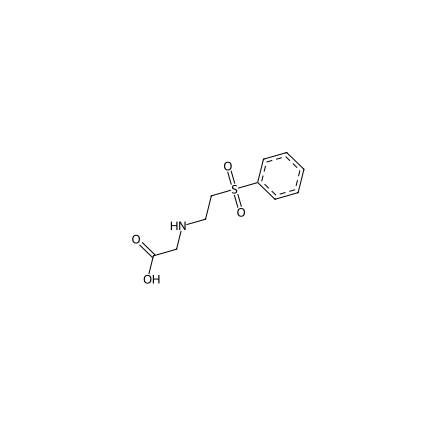 O=C(O)CNCCS(=O)(=O)c1ccccc1